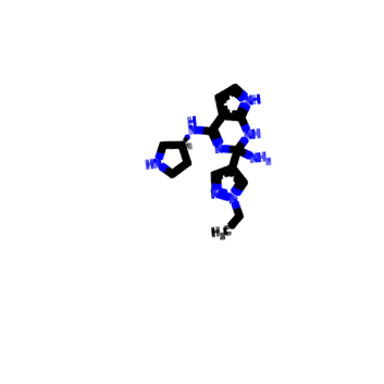 CCn1cc(C2(N)N=C(N[C@@H]3CCNC3)c3cc[nH]c3N2)cn1